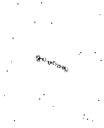 CC(C)(C)OC(=O)CCOCCOCCOCCOCCN=[N+]=[N-]